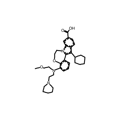 COCCN(CCN1CCCCC1)c1cccc2c1OCCn1c-2c(C2CCCCC2)c2ccc(C(=O)O)cc21